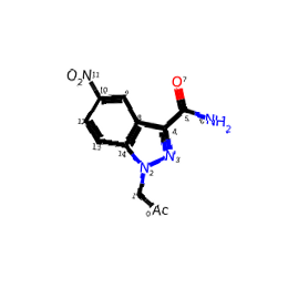 CC(=O)Cn1nc(C(N)=O)c2cc([N+](=O)[O-])ccc21